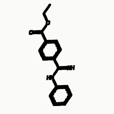 CCOC(=O)c1ccc(C(=N)Nc2ccccc2)cc1